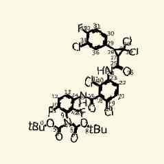 CC(C)(C)OC(=O)N(C(=O)OC(C)(C)C)c1c(F)ccc(NC(=O)c2c(Cl)ccc(NC(=O)C3C(c4ccc(F)c(Cl)c4)C3(Cl)Cl)c2Cl)c1F